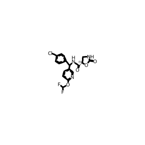 O=C1NC[C@@H](C(=O)NC(c2ccc(Cl)cc2)c2ccc(OC(F)F)nc2)O1